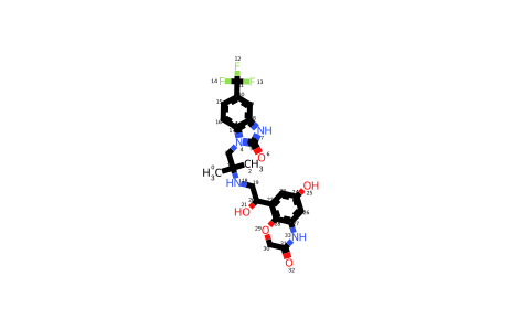 CC(C)(Cn1c(=O)[nH]c2cc(C(F)(F)F)ccc21)NCC(O)c1cc(O)cc2c1OCC(=O)N2